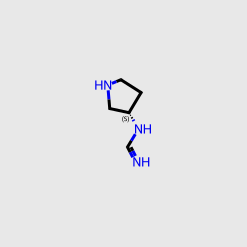 N=CN[C@H]1CCNC1